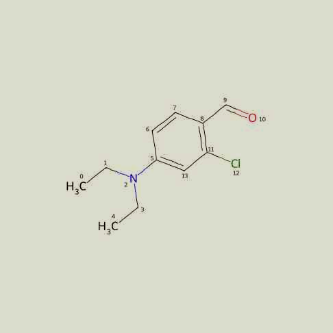 CCN(CC)c1ccc(C=O)c(Cl)c1